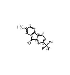 Cc1ccc2c(c1)C(=O)c1nc(C(F)(F)F)ncc1-2